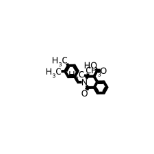 Cc1ccc(CN2C(=O)c3ccccc3C(C(=O)O)C2(C)C)cc1C